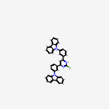 Clc1nc(-c2cccc(-n3c4ccccc4c4ccccc43)c2)cc(-c2cccc(-n3c4ccccc4c4ccccc43)c2)n1